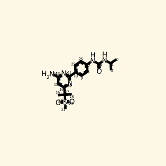 CC(C)NC(=O)Nc1ccc(-c2nc(N)cc(C(C)(C)S(C)(=O)=O)n2)cc1